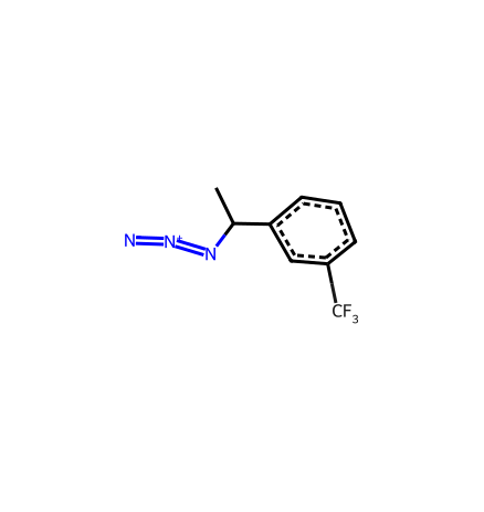 CC(N=[N+]=[N-])c1cccc(C(F)(F)F)c1